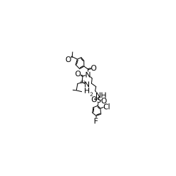 CC(=O)c1ccc(C(=O)N(CCCCNS(=O)(=O)c2ccc(F)cc2Cl)C(=O)[C@@H](N)CC(C)C)cc1